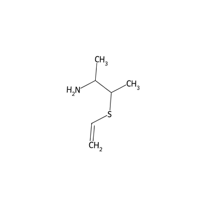 C=CSC(C)C(C)N